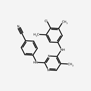 Cc1cnc(Nc2ccc(C#N)cc2)nc1Nc1cc(C)c(Cl)c(C)c1